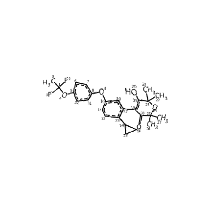 CC(F)(F)Oc1ccc(Oc2ccc(C3CC3)c(C3=C(O)C(C)(C)OC(C)(C)C3=O)c2)cc1